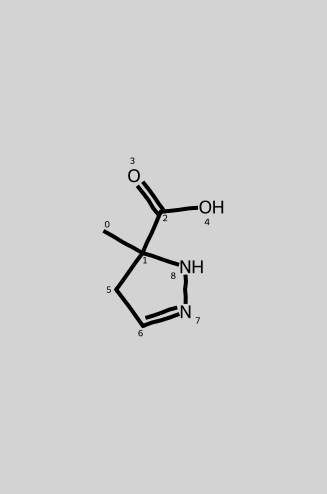 CC1(C(=O)O)CC=NN1